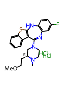 COCC[C@H]1CN(C2=Nc3cc(F)ccc3Nc3sc4ccccc4c32)CCN1C.Cl.Cl